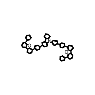 c1ccc(-c2cccc3c2oc2c(-c4ccc(-c5ccc(-n6c7ccccc7c7cc(-c8ccc(-c9cccc%10c9oc9c(-c%11ccccc%11)cccc9%10)cc8)ccc76)cc5)cc4)cccc23)cc1